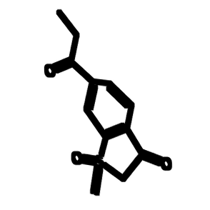 C=S1(=O)CC(=O)c2ccc(C(=O)CC)cc21